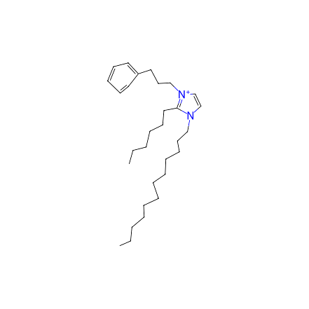 CCCCCCCCCCCCn1cc[n+](CCCc2ccccc2)c1CCCCCC